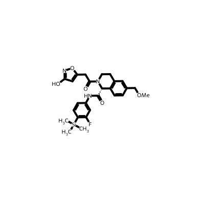 COCc1ccc2c(c1)CCN(C(=O)Cc1cc(O)no1)[C@H]2C(=O)Nc1ccc([Si](C)(C)C)c(F)c1